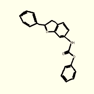 O=C(Nc1ccc2c(c1)OC(c1ccccc1)C2)Oc1ccccc1